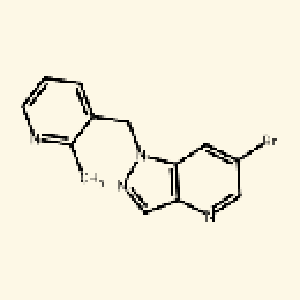 Cc1ncccc1Cn1ncc2ncc(Br)cc21